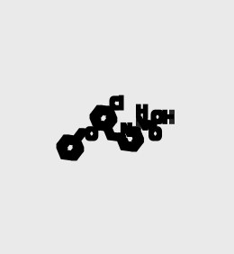 O=C(O)Nc1cccc(Cc2cc(Cl)ccc2OCc2ccccc2)n1